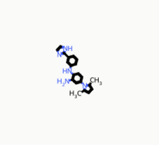 Cc1ccc(C)n1-c1ccc(Nc2cccc(-c3ncc[nH]3)c2)c(N)c1